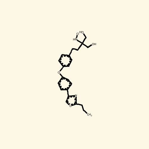 CCCc1nc(-c2ccc(Oc3ccc(CCC(CO)(CO)NCl)cc3)cc2)co1